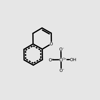 C1=COc2ccccc2C1.[O-][Cl+3]([O-])([O-])O